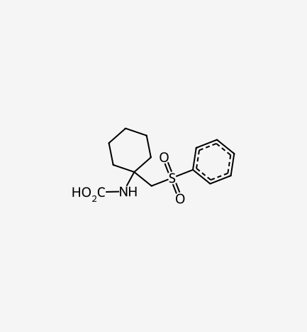 O=C(O)NC1(CS(=O)(=O)c2ccccc2)CCCCC1